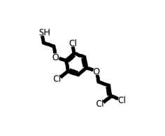 SCCOc1c(Cl)cc(OCC=C(Cl)Cl)cc1Cl